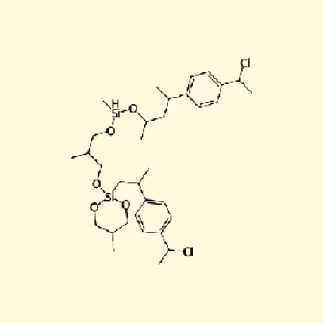 CC(CO[SiH](C)OC(C)CC(C)c1ccc(C(C)Cl)cc1)CO[Si]1(CC(C)c2ccc(C(C)Cl)cc2)OCC(C)CO1